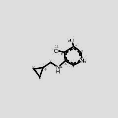 Clc1cncc(NCC2CC2)c1Cl